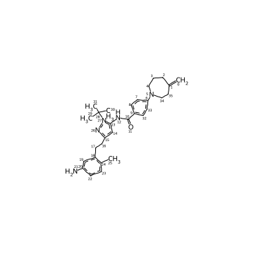 C=C1CCCN(c2ccc(C(=O)Nc3cc(CCc4cc(N)ccc4C)nn3C(C)(C)C)cc2)CC1